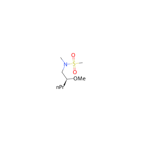 CCC[C@@H](CN(C)S(C)(=O)=O)OC